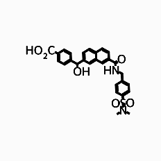 CN(C)S(=O)(=O)c1ccc(CNC(=O)c2ccc3ccc(C(O)c4ccc(C(=O)O)cc4)cc3c2)cc1